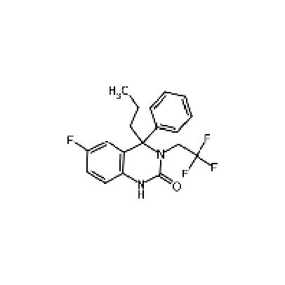 CCCC1(c2ccccc2)c2cc(F)ccc2NC(=O)N1CC(F)(F)F